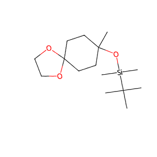 CC1(O[Si](C)(C)C(C)(C)C)CCC2(CC1)OCCO2